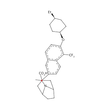 CC[C@H]1CC[C@@H](Oc2ccc3cc(C(C)N4C5CCC4CC(C(=O)O)C5)ccc3c2C(F)(F)F)CC1